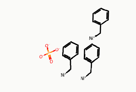 O=P([O-])([O-])[O-].[Ni+][CH2]c1ccccc1.[Ni+][CH2]c1ccccc1.[Ni+][CH2]c1ccccc1